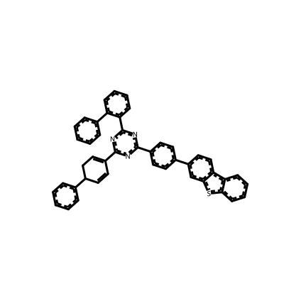 C1=CC(c2ccccc2)CC=C1c1nc(-c2ccc(-c3ccc4c(c3)sc3ccccc34)cc2)nc(-c2ccccc2-c2ccccc2)n1